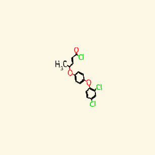 CC(C=CC(=O)Cl)Oc1ccc(Oc2ccc(Cl)cc2Cl)cc1